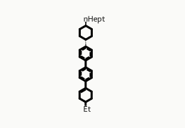 CCCCCCC[C@H]1CC[C@H](c2ccc(-c3ccc(C4=CCC(CC)CC4)cc3)cc2)CC1